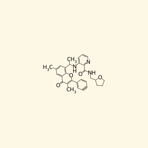 Cc1cc(C(C)Nc2cccnc2C(=O)NCC2CCCO2)c2oc(-c3cc#ccc3)c(C)c(=O)c2c1